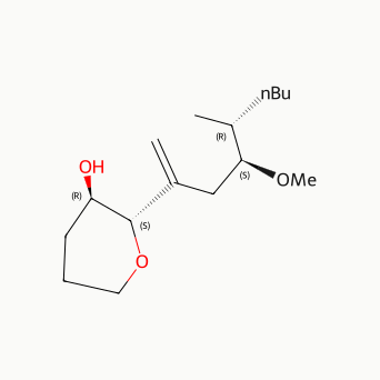 C=C(C[C@H](OC)[C@H](C)CCCC)[C@@H]1OCCC[C@H]1O